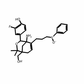 CC1(C)OC(c2ccc(O)c(F)c2)C2(N)CC1(CO)CC=C2CCC[S+]([O-])c1ccccc1